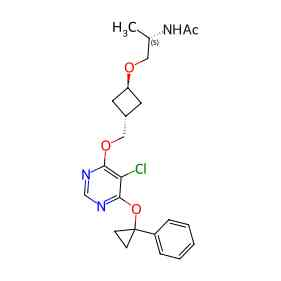 CC(=O)N[C@@H](C)CO[C@H]1C[C@H](COc2ncnc(OC3(c4ccccc4)CC3)c2Cl)C1